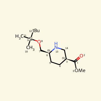 COC(=O)[C@H]1CC[C@@H](CO[Si](C)(C)C(C)(C)C)NC1